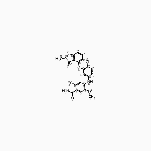 COc1cc(C(N)=O)c(C)cc1Nc1ncc(Cl)c(Oc2cccc3c2C(=O)N(C)C3)n1